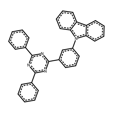 c1ccc(-c2nc(-c3ccccc3)nc(-c3cccc(-n4c5ccccc5c5ccccc54)c3)n2)cc1